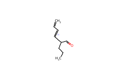 C=C/C=C/C([C]=O)CCC